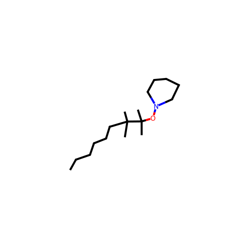 CCCCCCC(C)(C)C(C)(C)ON1CCCCC1